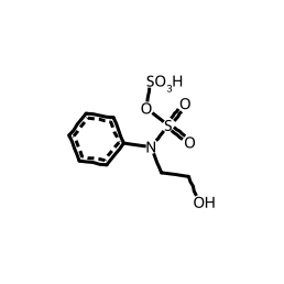 O=S(=O)(O)OS(=O)(=O)N(CCO)c1ccccc1